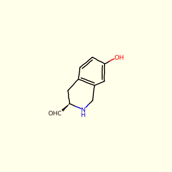 O=C[C@H]1Cc2ccc(O)cc2CN1